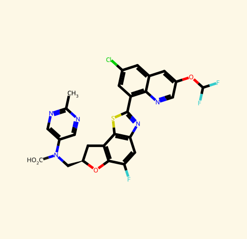 Cc1ncc(N(C[C@H]2Cc3c(c(F)cc4nc(-c5cc(Cl)cc6cc(OC(F)F)cnc56)sc34)O2)C(=O)O)cn1